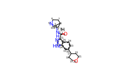 O=C(N[C@H]1CN2CCC1CC2)c1n[nH]c2cc(C3CCOCC3)ccc12